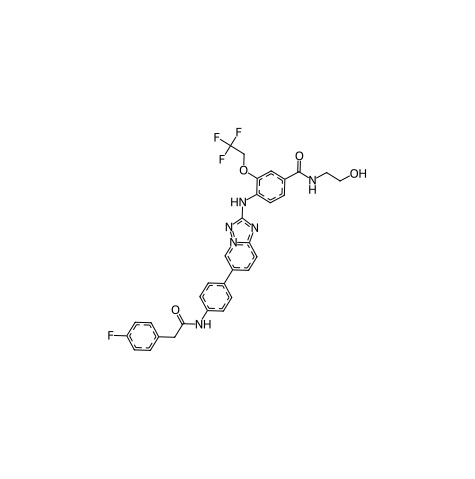 O=C(Cc1ccc(F)cc1)Nc1ccc(-c2ccc3nc(Nc4ccc(C(=O)NCCO)cc4OCC(F)(F)F)nn3c2)cc1